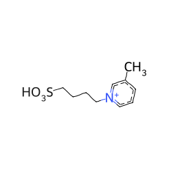 Cc1ccc[n+](CCCCS(=O)(=O)O)c1